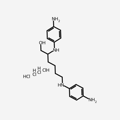 Cl.Cl.Cl.Cl.Nc1ccc(NCCCCC(CO)Nc2ccc(N)cc2)cc1